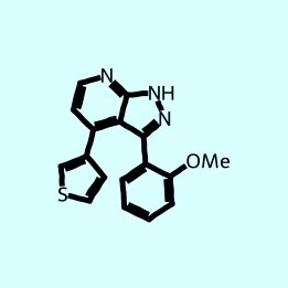 COc1ccccc1-c1n[nH]c2nccc(-c3ccsc3)c12